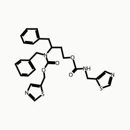 O=C(NCc1cncs1)OCCC(Cc1ccccc1)N(Cc1ccccc1)C(=O)OCc1cncs1